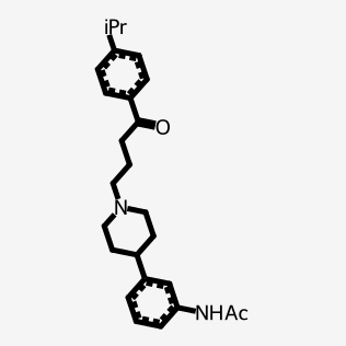 CC(=O)Nc1cccc(C2CCN(CCCC(=O)c3ccc(C(C)C)cc3)CC2)c1